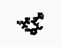 CC(C)C(N)C(=O)O.CC[C@@H](c1cccc(O)c1)[C@@H](C)CN(C)C.NC(=O)O